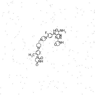 Cc1cc(N2CCC(CN3CCN(c4ccc(Nc5nc(C6COCCN6)nnc5C(N)=O)cc4F)CC3)CC2)ccc1N1CCC(=O)NC1=O